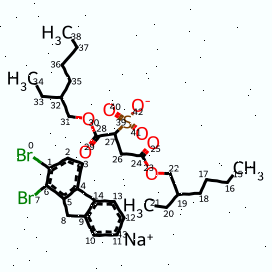 Brc1ccc2c(c1Br)Cc1ccccc1-2.CCCCC(CC)COC(=O)CC(C(=O)OCC(CC)CCCC)S(=O)(=O)[O-].[Na+]